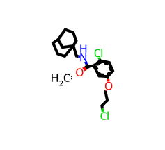 O=C(NCC12CCCC(CCC1)C2)c1cc(OCCCCl)ccc1Cl.[CH2]